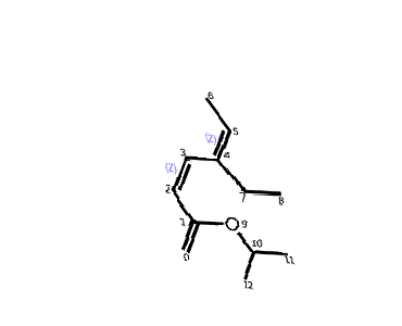 C=C(/C=C\C(=C/C)CC)OC(C)C